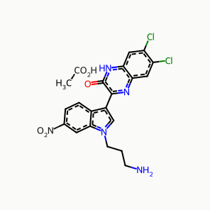 CC(=O)O.NCCCn1cc(-c2nc3cc(Cl)c(Cl)cc3[nH]c2=O)c2ccc([N+](=O)[O-])cc21